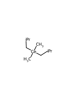 CC(C)[CH2][Ge]([CH3])([CH3])[CH2]C(C)C